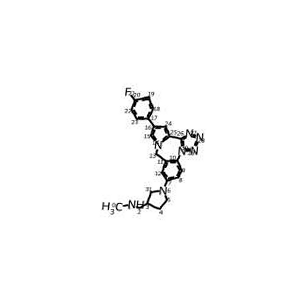 CNCC1CCN(c2ccc3c(c2)Cn2cc(-c4ccc(F)cc4)cc2-c2nnnn2-3)C1